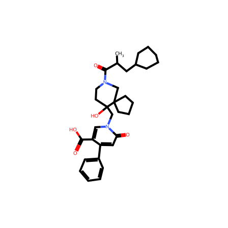 CC(CC1CCCCC1)C(=O)N1CCC(O)(Cn2cc(C(=O)O)c(-c3ccccc3)cc2=O)C2(CCCC2)C1